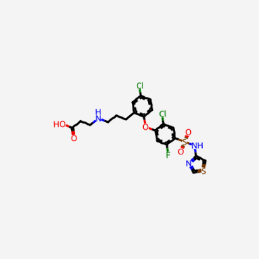 O=C(O)CCNCCCc1cc(Cl)ccc1Oc1cc(F)c(S(=O)(=O)Nc2cscn2)cc1Cl